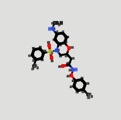 O=C(O)Nc1ccc2c(c1)N(S(=O)(=O)c1cccc(C(F)(F)F)c1)CC(CC(=O)NOc1ccc(C(F)(F)F)cc1)O2